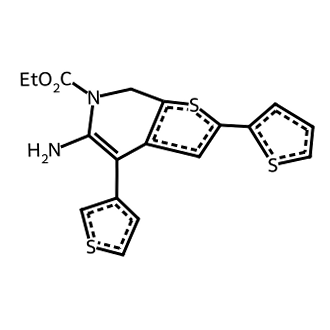 CCOC(=O)N1Cc2sc(-c3cccs3)cc2C(c2ccsc2)=C1N